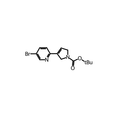 CC(C)(C)OC(=O)N1CC=C(c2ccc(Br)cn2)C1